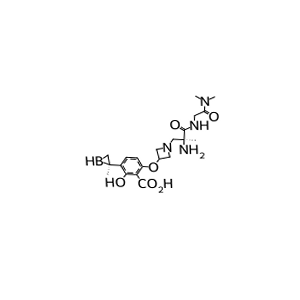 CN(C)C(=O)CNC(=O)[C@@](C)(N)CN1CC(Oc2ccc([C@@]3(C)BC3)c(O)c2C(=O)O)C1